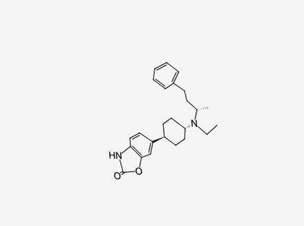 CCN([C@H]1CC[C@H](c2ccc3[nH]c(=O)oc3c2)CC1)[C@@H](C)CCc1ccccc1